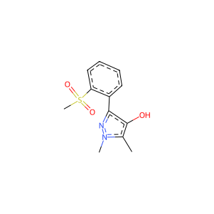 Cc1c(O)c(-c2ccccc2S(C)(=O)=O)nn1C